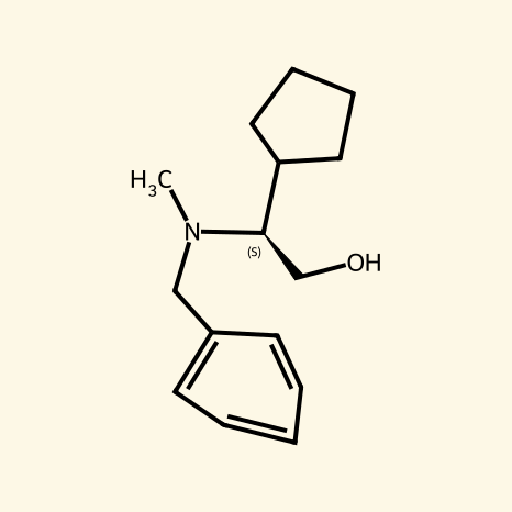 CN(Cc1ccccc1)[C@H](CO)C1CCCC1